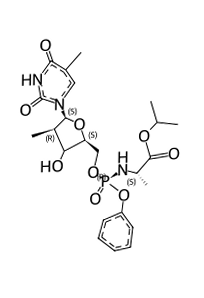 Cc1cn([C@H]2O[C@@H](CO[P@](=O)(N[C@@H](C)C(=O)OC(C)C)Oc3ccccc3)C(O)[C@H]2C)c(=O)[nH]c1=O